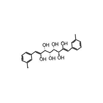 Cc1cccc(C=C(O)[C@@H](O)[C@@H](O)[C@H](O)[C@@H](O)C(O)=Cc2cccc(C)c2)c1